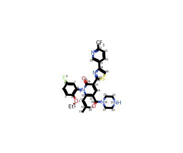 CCOc1ccc(F)cc1-n1c(C=C(C)C)c(C(=O)N2CCNCC2)cc(-c2nc(-c3ccc(C(F)(F)F)nc3)cs2)c1=O